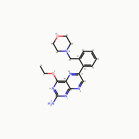 CCOc1nc(N)nc2ncc(-c3ccccc3CN3CCOCC3)nc12